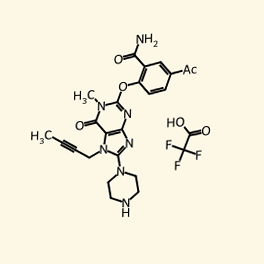 CC#CCn1c(N2CCNCC2)nc2nc(Oc3ccc(C(C)=O)cc3C(N)=O)n(C)c(=O)c21.O=C(O)C(F)(F)F